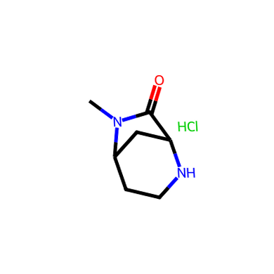 CN1C(=O)C2CC1CCN2.Cl